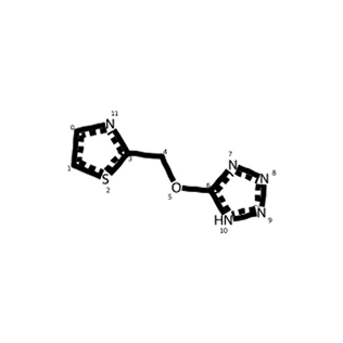 c1csc(COc2nnn[nH]2)n1